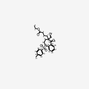 CCOC(=O)CCCC1(C=O)CCN(S(=O)(=O)c2ccc(C)cc2)c2ccccc2C1=O